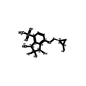 CS(=O)(=O)c1ccc(OC[C@@H]2CC2F)c2c1[C@H](O)C(F)(F)[C@@H]2F